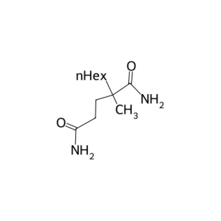 CCCCCCC(C)(CCC(N)=O)C(N)=O